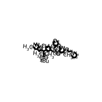 Cc1cc2cc(C(c3ccc(C)c(CN4CC5(CCOCC5)Oc5nc(OCCN6CCCCC6)c(C)cc5S4(=O)=O)c3)C(C)(C)C(=O)OC(C)(C)C)n(C)c2nn1